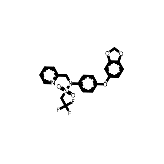 O=S(=O)(CC(F)(F)F)N(Cc1ccccn1)c1ccc(Oc2ccc3c(c2)OCO3)cc1